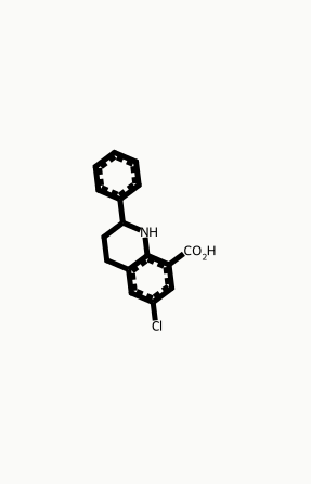 O=C(O)c1cc(Cl)cc2c1NC(c1ccccc1)CC2